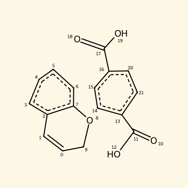 C1=Cc2ccccc2OC1.O=C(O)c1ccc(C(=O)O)cc1